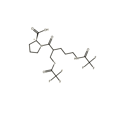 O=C(O)[C@@H]1CCCN1C(=O)C(CCCNC(=O)C(F)(F)F)CSC(=O)C(F)(F)F